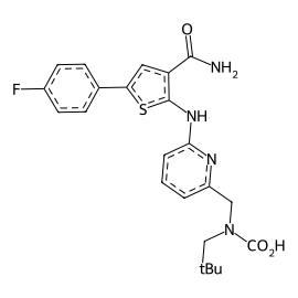 CC(C)(C)CN(Cc1cccc(Nc2sc(-c3ccc(F)cc3)cc2C(N)=O)n1)C(=O)O